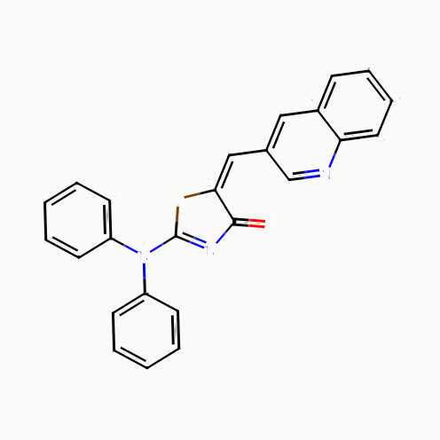 O=C1N=C(N(c2ccccc2)c2ccccc2)S/C1=C/c1cnc2ccccc2c1